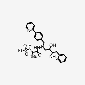 CCS(=O)(=O)NC(C(=O)NN(Cc1ccc(-c2ccccn2)cc1)CC(O)C(N)Cc1ccccc1)C(C)(C)C